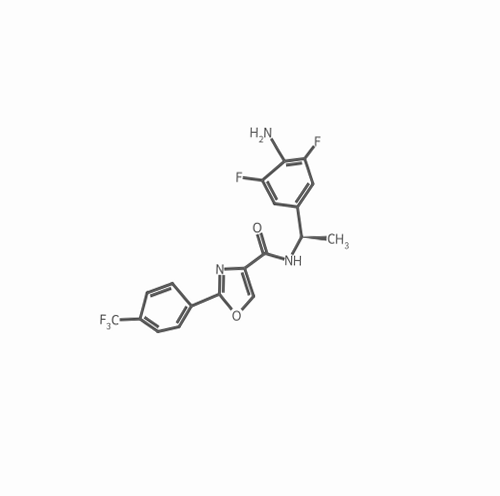 C[C@@H](NC(=O)c1coc(-c2ccc(C(F)(F)F)cc2)n1)c1cc(F)c(N)c(F)c1